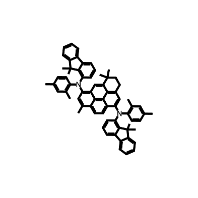 Cc1ccc(N(c2cccc3c2C(C)(C)c2ccccc2-3)c2cc(C)c3ccc4c(N(c5ccc(C)cc5C)c5cccc6c5C(C)(C)c5ccccc5-6)cc5c6c(cc2c3c46)C(C)(C)CC5)c(C)c1